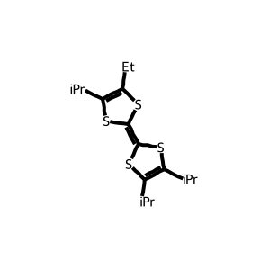 CCC1=C(C(C)C)SC(=C2SC(C(C)C)=C(C(C)C)S2)S1